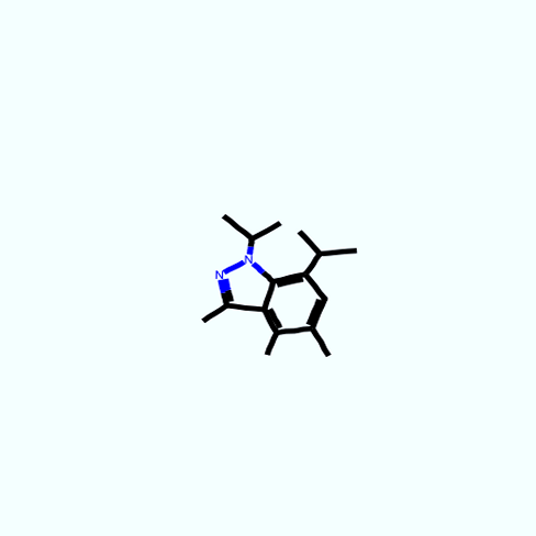 Cc1cc(C(C)C)c2c(c(C)nn2C(C)C)c1C